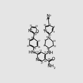 N#Cc1ccc(N2CCC(Nc3cc(Nc4ccc(-c5ncco5)cc4)ncc3C(N)=O)CC2)nc1